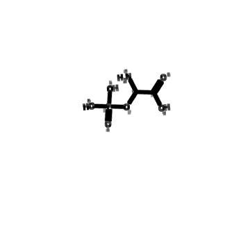 NC(OP(=O)(O)O)C(=O)O